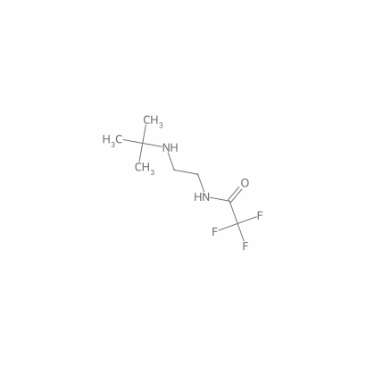 CC(C)(C)NCCNC(=O)C(F)(F)F